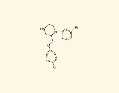 CC(C)c1cccc(N2CCNCC2COc2ccc(Cl)cc2)c1